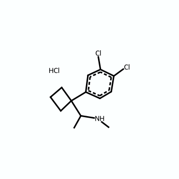 CNC(C)C1(c2ccc(Cl)c(Cl)c2)CCC1.Cl